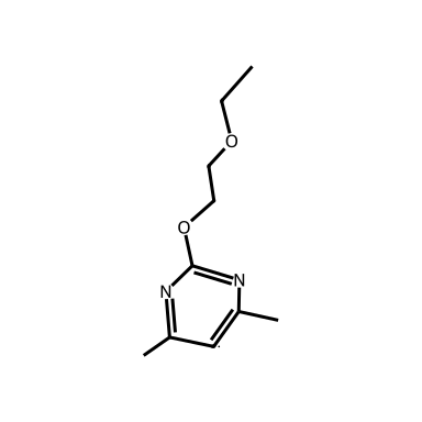 CCOCCOc1nc(C)[c]c(C)n1